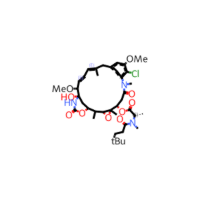 COc1cc2cc(c1Cl)N(C)C(=O)CC(OC(=O)[C@H](C)N(C)C(=O)CCC(C)(C)C)C1(C)OC1C(C)C1CC(O)(NC(=O)O1)C(OC)/C=C/C=C(\C)C2